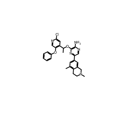 Cc1cc(-c2cnc(N)c(OC(C)c3cc(Cl)ncc3Oc3ccccc3)n2)cc2c1CCN(C)C2